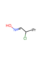 CC(C)C(Cl)C=NO